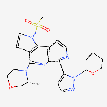 C[C@@H]1COCCN1c1nc2c(-c3ccnn3C3CCCCO3)nccc2c2c1ccn2S(C)(=O)=O